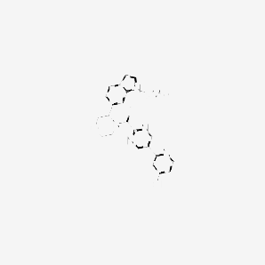 CSn1ccc2ccc(C3COCCN3C(=O)c3ncc(-c4cc(Cl)ccn4)cn3)cc21